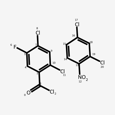 O=C(Cl)c1cc(F)c(Cl)cc1Cl.O=[N+]([O-])c1ccc(Cl)cc1Cl